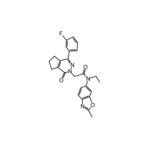 CCN(C(=O)Cn1nc(-c2cccc(F)c2)c2c(c1=O)CCC2)c1ccc2nc(C)oc2c1